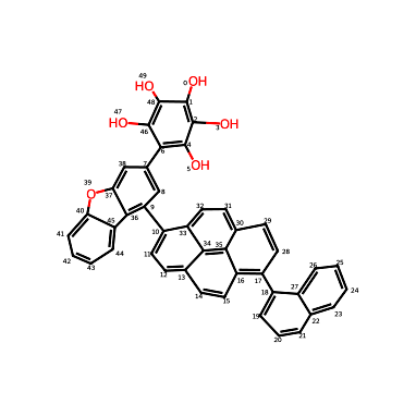 Oc1c(O)c(O)c(-c2cc(-c3ccc4ccc5c(-c6cccc7ccccc67)ccc6ccc3c4c65)c3c(c2)oc2ccccc23)c(O)c1O